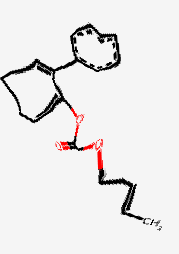 C/C=C/COC(=O)OC1=CCCC=C1c1ccccc1